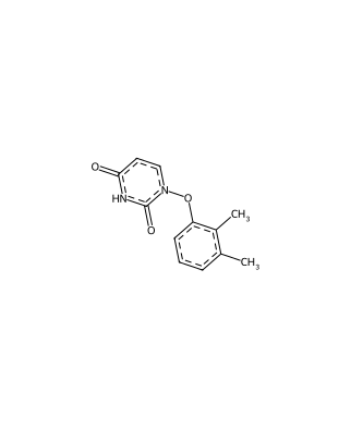 Cc1cccc(On2ccc(=O)[nH]c2=O)c1C